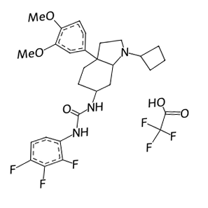 COc1ccc(C23CCC(NC(=O)Nc4ccc(F)c(F)c4F)CC2N(C2CCC2)CC3)cc1OC.O=C(O)C(F)(F)F